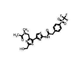 CC(=O)N(C)Cc1nc(CO)sc1-c1csc(NC(=O)Cc2ccc(S(=O)(=O)C(F)(F)F)cc2)n1